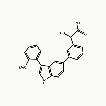 COc1ccccc1-c1c[nH]c2ncc(-c3cncc(C(O)C(N)=O)c3)cc12